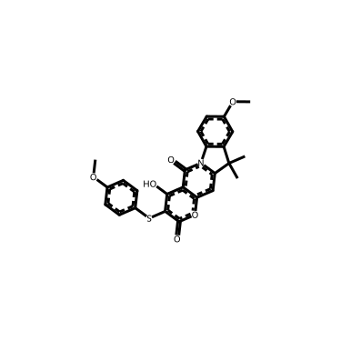 COc1ccc(Sc2c(O)c3c(=O)n4c(cc3oc2=O)C(C)(C)c2cc(OC)ccc2-4)cc1